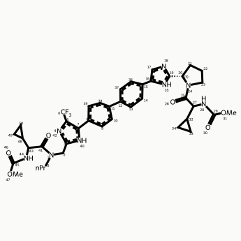 CCCN(Cc1nc(C(F)(F)F)c(-c2ccc(-c3ccc(-c4cnc([C@@H]5CCCN5C(=O)C(NC(=O)OC)C5CC5)[nH]4)cc3)cc2)[nH]1)C(=O)C(NC(=O)OC)C1CC1